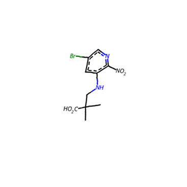 CC(C)(CNc1cc(Br)cnc1[N+](=O)[O-])C(=O)O